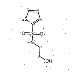 O=S(=O)(NCCO)c1cccs1